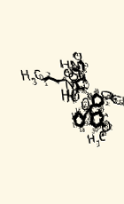 CCCCCN[C@@]1(O)[C@H](O)[C@@H](COC(c2ccccc2)(c2ccc(OC)cc2)c2ccc(OC)cc2)O[C@H]1n1ccc(=O)[nH]c1=O